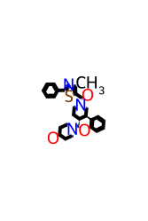 Cc1nc(-c2ccccc2)sc1C(=O)N1CC[C@@H](C(=O)N2CCC(=O)CC2)[C@H](c2ccccc2)C1